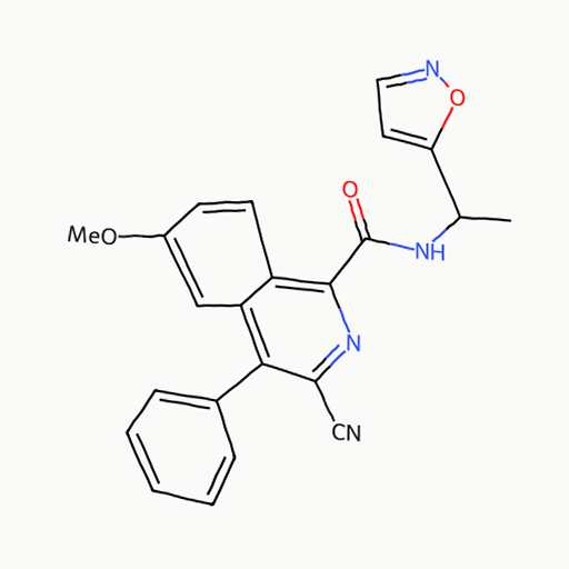 COc1ccc2c(C(=O)NC(C)c3ccno3)nc(C#N)c(-c3ccccc3)c2c1